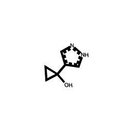 OC1(c2cn[nH]c2)CC1